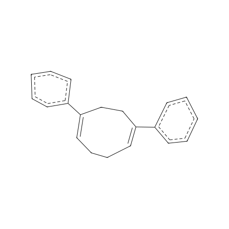 C1=C(/c2ccccc2)CC/C(c2ccccc2)=C\CC/1